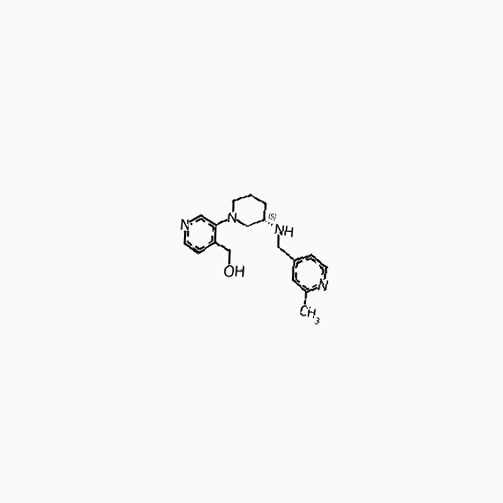 Cc1cc(CN[C@H]2CCCN(c3cnccc3CO)C2)ccn1